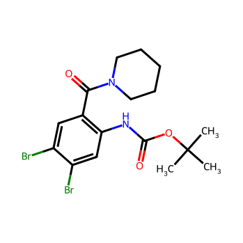 CC(C)(C)OC(=O)Nc1cc(Br)c(Br)cc1C(=O)N1CCCCC1